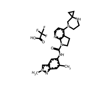 Cc1cc2nn(C)cc2cc1NC(=O)N1CCc2c(N3CCNC4(CC4)C3)ccnc21.O=C(O)C(F)(F)F